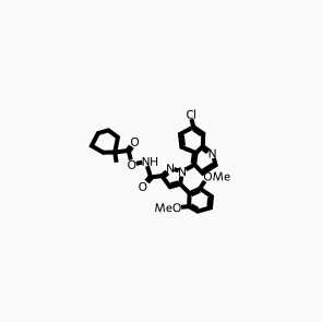 COc1cccc(OC)c1-c1cc(C(=O)NOC(=O)C2(C)CCCCC2)nn1-c1ccnc2cc(Cl)ccc12